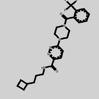 O=C(NCCCC1CCC1)c1ccc(N2CCN(C(=O)c3ccccc3C(F)(F)F)CC2)nn1